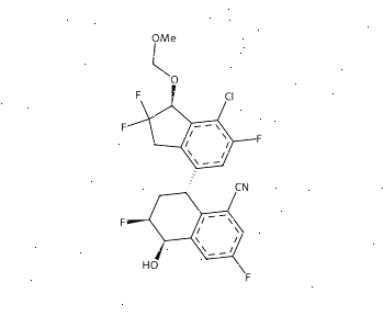 COCO[C@H]1c2c(Cl)c(F)cc([C@H]3C[C@H](F)[C@H](O)c4cc(F)cc(C#N)c43)c2CC1(F)F